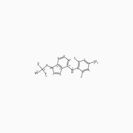 Cc1cc(C(F)(F)F)nc(C)c1Nc1nccc2c1ccn2CC(F)(F)C(C)C